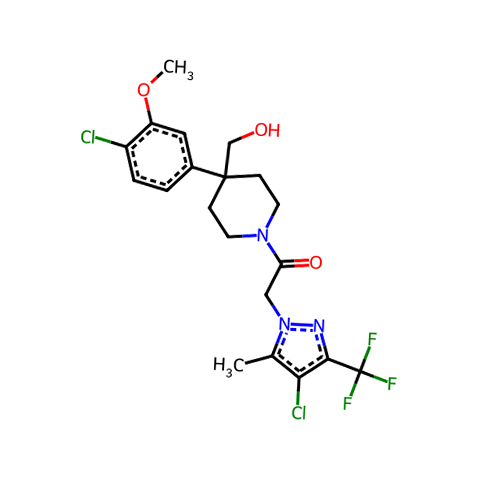 COc1cc(C2(CO)CCN(C(=O)Cn3nc(C(F)(F)F)c(Cl)c3C)CC2)ccc1Cl